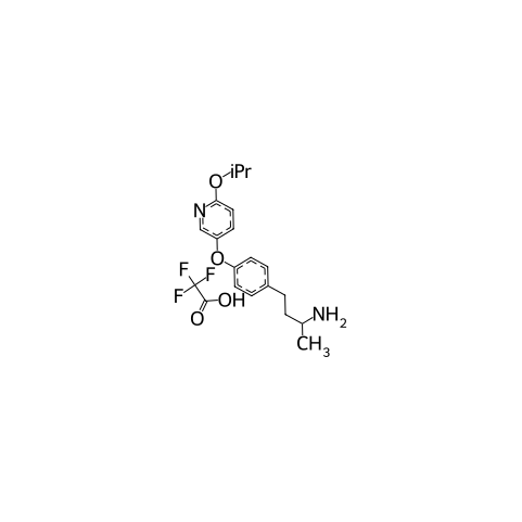 CC(N)CCc1ccc(Oc2ccc(OC(C)C)nc2)cc1.O=C(O)C(F)(F)F